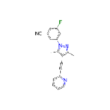 Cc1nn(-c2cc(F)cc(C#N)c2)c(C)c1C#Cc1ccccn1